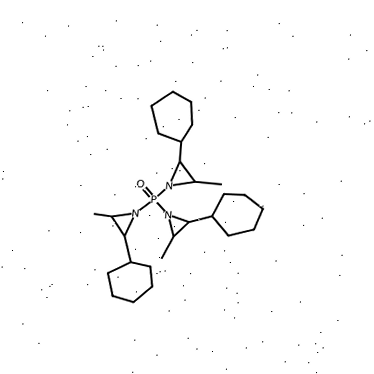 CC1C(C2CCCCC2)N1P(=O)(N1C(C)C1C1CCCCC1)N1C(C)C1C1CCCCC1